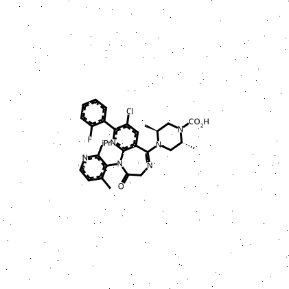 Cc1ccnc(C(C)C)c1N1C(=O)CN=C(N2C[C@@H](C)N(C(=O)O)C[C@@H]2C)c2cc(Cl)c(-c3ccccc3F)nc21